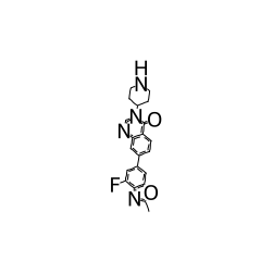 Cc1nc2c(F)cc(-c3ccc4c(=O)n(C5CCNCC5)cnc4c3)cc2o1